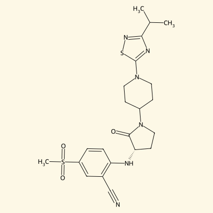 CC(C)c1nsc(N2CCC(N3CC[C@H](Nc4ccc(S(C)(=O)=O)cc4C#N)C3=O)CC2)n1